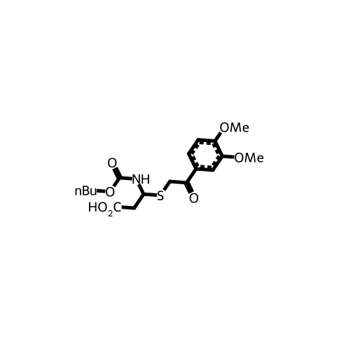 CCCCOC(=O)NC(CC(=O)O)SCC(=O)c1ccc(OC)c(OC)c1